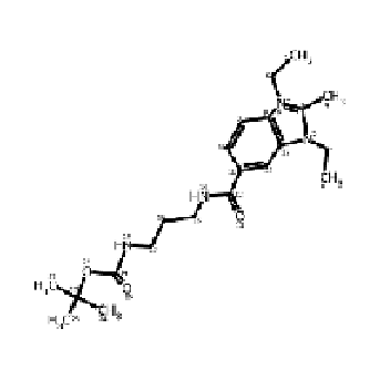 CCn1c(C)[n+](CC)c2ccc(C(=O)NCCCNC(=O)OC(C)(C)C)cc21